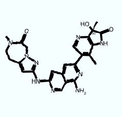 Cc1c(-c2cc3cc(Nc4cc5n(n4)CC(=O)N(C)CC5)ncc3c(N)n2)cnc2c1NC(=O)[C@@]2(C)O